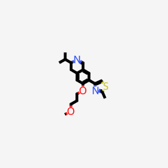 COCCCOc1cc2c(cc1-c1csc(C)n1)C=NC(C(C)C)C2